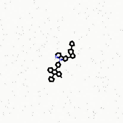 Cc1ccc2c(-c3ccc(-n4c5ccc(-c6cccc7cc(-c8ccccc8)ccc67)cc5c5cccnc54)cc3)c3ccccc3c(-c3ccccc3)c2c1